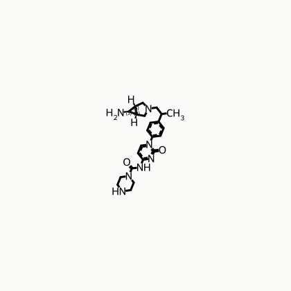 CC(CN1C[C@@H]2[C@@H](N)[C@@H]2C1)c1ccc(-n2ccc(NC(=O)N3CCNCC3)nc2=O)cc1